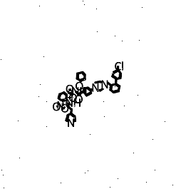 O=C(NS(=O)(=O)c1cccc([N+](=O)[O-])c1NCCc1ccncc1)c1ccc(N2CCN(Cc3ccccc3-c3ccc(Cl)cc3)CC2)cc1Oc1ccccc1